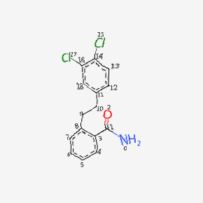 NC(=O)c1ccccc1CCc1ccc(Cl)c(Cl)c1